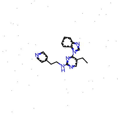 CCc1cnc(NCCc2ccncc2)nc1-n1cnc2ccccc21